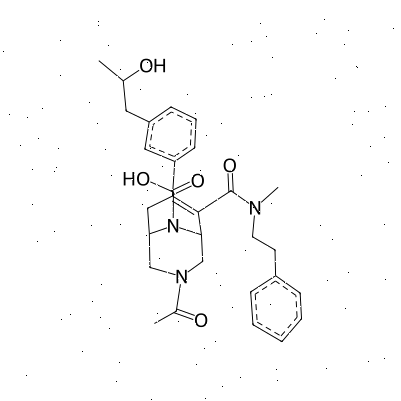 CC(=O)N1CC2CC(c3cccc(CC(C)O)c3)=C(C(=O)N(C)CCc3ccccc3)C(C1)N2C(=O)O